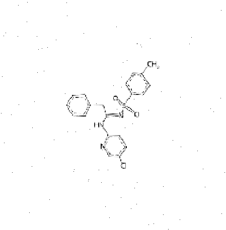 Cc1ccc(S(=O)(=O)N=C(Cc2ccccc2)Nc2ccc(Cl)cn2)cc1